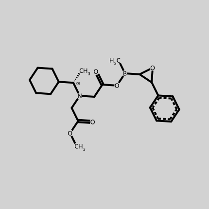 COC(=O)CN(CC(=O)OB(C)C1OC1c1ccccc1)[C@@H](C)C1CCCCC1